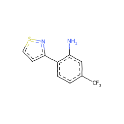 Nc1cc(C(F)(F)F)ccc1-c1ccsn1